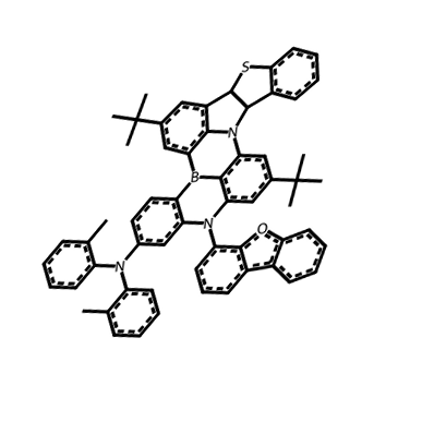 Cc1ccccc1N(c1ccc2c(c1)N(c1cccc3c1oc1ccccc13)c1cc(C(C)(C)C)cc3c1B2c1cc(C(C)(C)C)cc2c1N3C1c3ccccc3SC21)c1ccccc1C